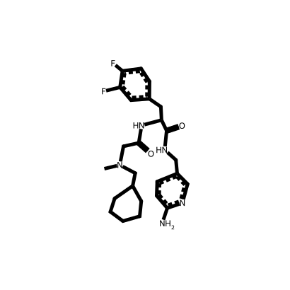 CN(CC(=O)NC(Cc1ccc(F)c(F)c1)C(=O)NCc1ccc(N)nc1)CC1CCCCC1